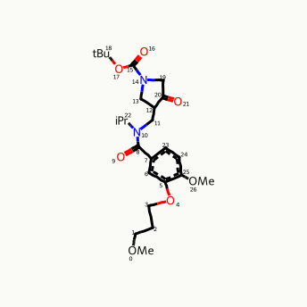 COCCCOc1cc(C(=O)N(CC2CN(C(=O)OC(C)(C)C)CC2=O)C(C)C)ccc1OC